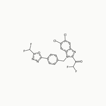 O=C(c1nc2cc(Cl)c(Cl)cc2n1Cc1ccc(-c2nnc(C(F)F)o2)cc1)C(F)F